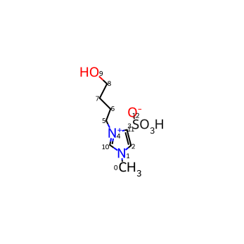 Cn1cc[n+](CCCCO)c1.O=S(=O)([O-])O